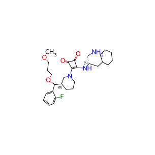 COCCCOC(c1ccccc1F)[C@@H]1CCCN(c2c(N[C@H](CN)CC3CCCCC3)c(=O)c2=O)C1